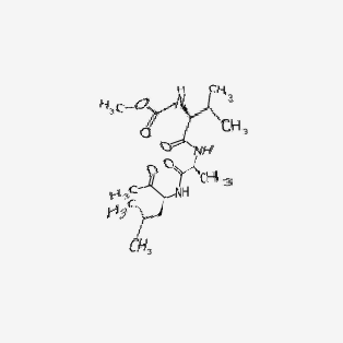 COC(=O)N[C@H](C(=O)N[C@@H](C)C(=O)N[C@@H](CC(C)C)C(C)=O)C(C)C